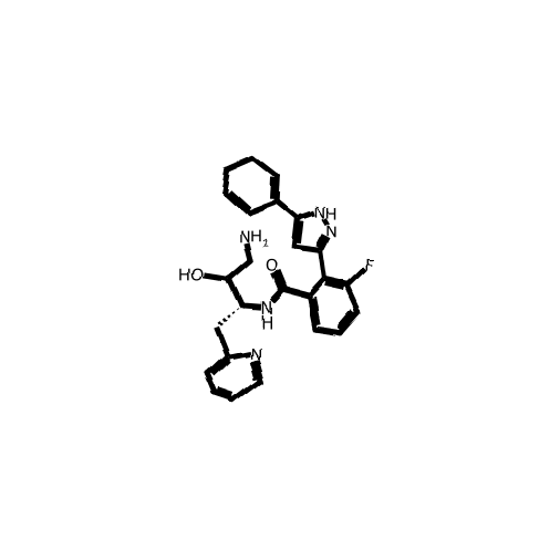 NCC(O)[C@@H](Cc1ccccn1)NC(=O)c1cccc(F)c1-c1cc(C2=CCCC=C2)[nH]n1